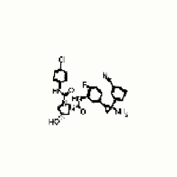 N#Cc1cccc(C2(N)CC2c2ccc(F)c(NC(=O)[C@@H]3C[C@H](O)CN3C(=O)Nc3ccc(Cl)cc3)c2)c1